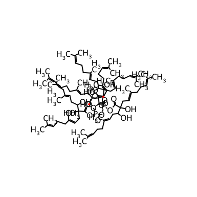 CC(C)=CCC/C(C)=C/CC(O)C(O)(C/C=C(\C)CCC=C(C)C)C(=O)OP(=O)(OC(=O)C(O)(C/C=C(\C)CCC=C(C)C)C(O)C/C=C(\C)CCC=C(C)C)OP(=O)(OC(=O)C(O)(C/C=C(\C)CCC=C(C)C)C(O)C/C=C(\C)CCC=C(C)C)OC(=O)C(O)(C/C=C(\C)CCC=C(C)C)C(O)C/C=C(\C)CCC=C(C)C